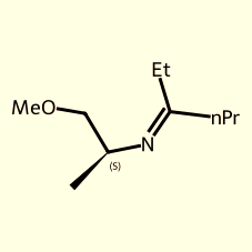 CCCC(CC)=N[C@@H](C)COC